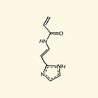 C=CC(=O)NC=Cc1ncc[nH]1